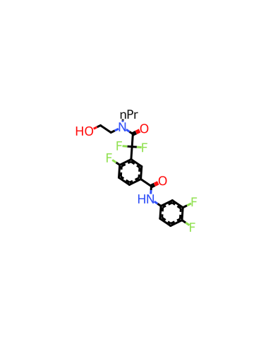 CCCN(CCO)C(=O)C(F)(F)c1cc(C(=O)Nc2ccc(F)c(F)c2)ccc1F